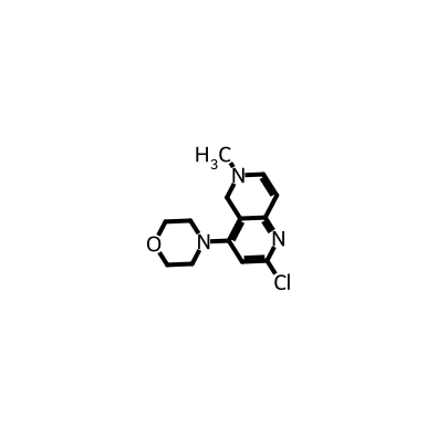 CN1C=Cc2nc(Cl)cc(N3CCOCC3)c2C1